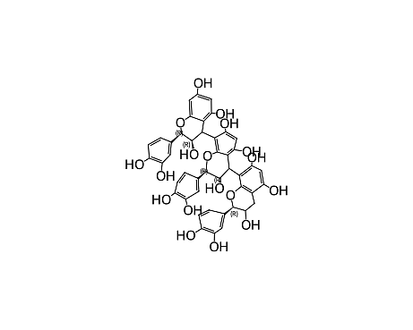 Oc1cc(O)c2c(c1)O[C@H](c1ccc(O)c(O)c1)[C@H](O)C2c1c(O)cc(O)c2c1O[C@H](c1ccc(O)c(O)c1)[C@H](O)C2c1c(O)cc(O)c2c1O[C@H](c1ccc(O)c(O)c1)C(O)C2